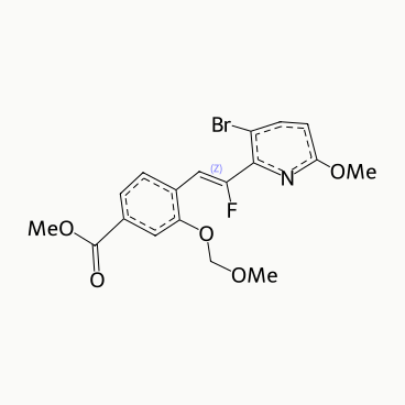 COCOc1cc(C(=O)OC)ccc1/C=C(\F)c1nc(OC)ccc1Br